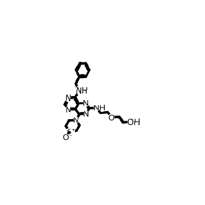 [O-][S+]1CCN(c2nc(NCCOCCO)nc3c(NCc4ccccc4)ncnc23)CC1